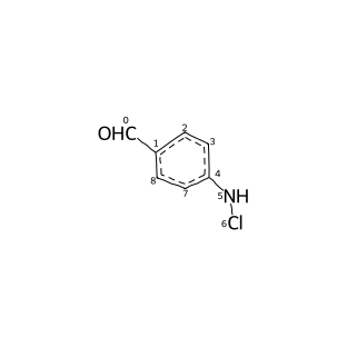 O=Cc1ccc(NCl)cc1